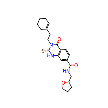 O=C(NCC1CCCO1)c1ccc2c(=O)n(CCC3=CCCCC3)c(=S)[nH]c2c1